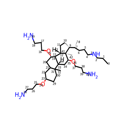 CCCNCCC[C@@H](C)[C@H]1CC[C@H]2C3[C@H](OCCCN)CC4C[C@H](OCCCN)CCC4(C)[C@H]3C[C@H](OCCCN)[C@]12C